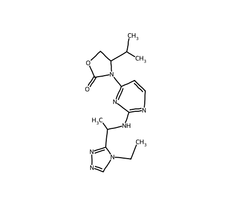 CCn1cnnc1C(C)Nc1nccc(N2C(=O)OCC2C(C)C)n1